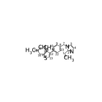 CCc1nccn1Cc1ccc(-c2csc(CC(C)C)c2C)cc1